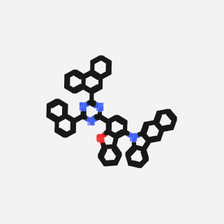 C1=Cc2cc(-c3nc(-c4cccc5ccccc45)nc(-c4ccc(-n5c6ccccc6c6cc7ccccc7cc65)c5c4oc4ccccc45)n3)c3ccccc3c2CC1